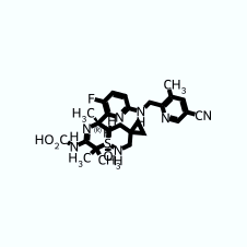 Cc1cc(C#N)cnc1CNc1ccc(F)c([C@@]2(C)N=C(NC(=O)O)C(C)(C)[SH]3(=O)NCC4(CC4)C[C@@H]23)n1